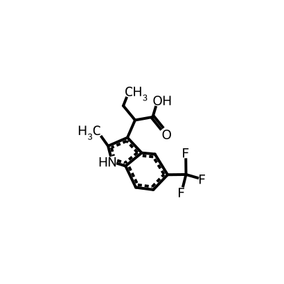 CCC(C(=O)O)c1c(C)[nH]c2ccc(C(F)(F)F)cc12